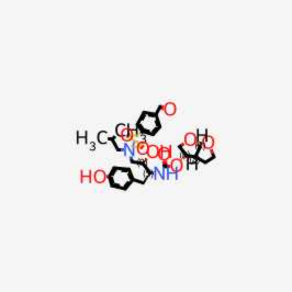 CC(C)CN(C[C@@H](O)[C@H](Cc1ccc(O)cc1)NC(=O)O[C@H]1CO[C@H]2OCC[C@H]21)S(=O)(=O)c1ccc(C=O)cc1